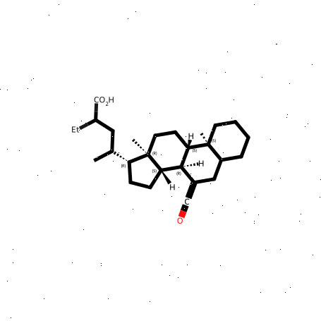 CCC(CC(C)[C@H]1CC[C@H]2[C@@H]3C(=C=O)CC4CCCC[C@]4(C)[C@H]3CC[C@]12C)C(=O)O